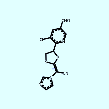 N#C/C(=C1/SCC(c2ncc(C=O)cc2Cl)S1)n1ccnc1